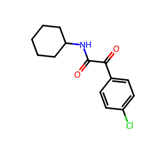 O=C(NC1CCCCC1)C(=O)c1ccc(Cl)cc1